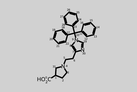 O=C(O)C1CCN(CCc2cn(C(c3ccccc3)(c3ccccc3)c3ccccc3)cn2)C1